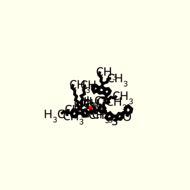 CCCCCCCCC1(CCCCCCCC)c2cc(C(C)(C)CC)ccc2-c2ccc(C(C)(CCC)C(C)(CC)c3cc(-c4ccc5sc6cc7oc8ccccc8c7cc6c5c4)cc(C(C)(CC)C(CC)(CCCC)c4cccc5c(C(CCC)CCCC)c6ccccc6cc45)c3)cc21